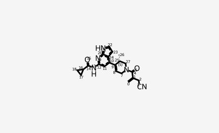 C=C(CC#N)C(=O)N1CC=C(c2cc(NC(=O)C3CC3)nc3[nH]ccc23)[C@H](C)C1